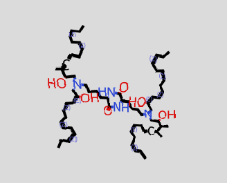 CC/C=C\C/C=C\CC=C=C(C)C(O)CN(CCCCC1NC(=O)C(CCCCN(C/C(O)=C\C=C/C/C=C\C/C=C\CC)CC(O)C(C)C(C)=C=CC/C=C\C/C=C\CC)NC1=O)C/C(O)=C\C=C/C/C=C\C/C=C\CC